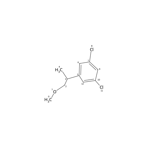 COCC(C)c1cc(Cl)cc(Cl)c1